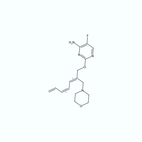 C=C/C=C\C=C(\COc1ncc(F)c(N)n1)CN1CCOCC1